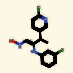 CC(/C(=C/NO)Nc1cccc(Cl)c1)c1ccc(Cl)nc1